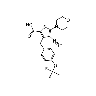 [C-]#[N+]c1c(N2CCOCC2)sc(C(=O)O)c1Cc1ccc(OC(F)(F)F)cc1